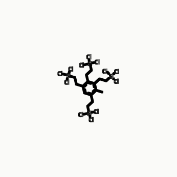 Cc1c(CC[Si](Cl)(Cl)Cl)cc(CC[Si](Cl)(Cl)Cl)c(CC[Si](Cl)(Cl)Cl)c1CC[Si](Cl)(Cl)Cl